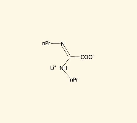 CCCN=C(NCCC)C(=O)[O-].[Li+]